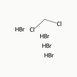 Br.Br.Br.Br.ClCCl